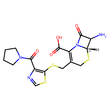 NC1C(=O)N2C(C(=O)O)=C(CSc3scnc3C(=O)N3CCCC3)CS[C@@H]12